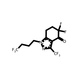 O=C1c2c(C(F)(F)F)nn(CCCC(F)(F)F)c2CCC1(F)F